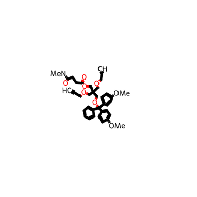 C#CCOCC(COCC#C)(COC(=O)CCC(=O)NC)COC(c1ccccc1)(c1ccc(OC)cc1)c1ccc(OC)cc1